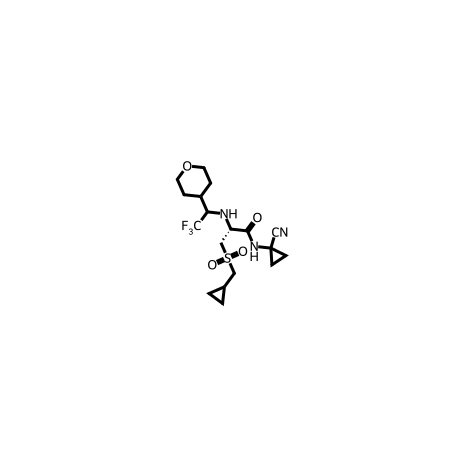 N#CC1(NC(=O)[C@H](CS(=O)(=O)CC2CC2)NC(C2CCOCC2)C(F)(F)F)CC1